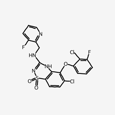 O=S1(=O)N=C(NCc2ncccc2F)Nc2c1ccc(Cl)c2Oc1cccc(F)c1Cl